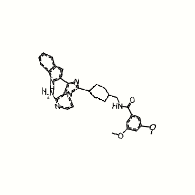 COc1cc(OC)cc(C(=O)NCC2CCC(c3nc(-c4cc5ccccc5[nH]4)c4c(N)nccn34)CC2)c1